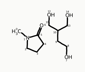 CN1CCCC1=O.OCCC(CO)CO